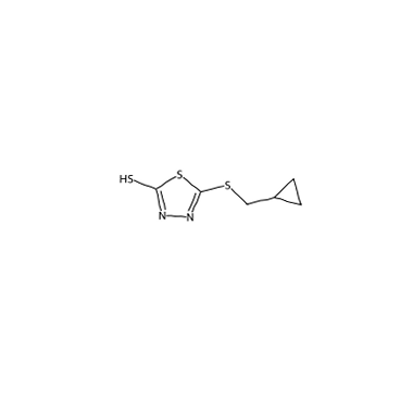 Sc1nnc(SCC2CC2)s1